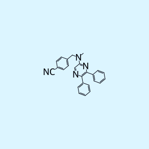 CN(Cc1ccc(C#N)cc1)c1cnc(-c2ccccc2)c(-c2ccccc2)n1